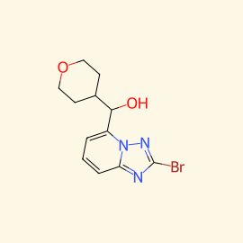 OC(c1cccc2nc(Br)nn12)C1CCOCC1